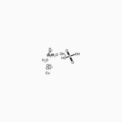 Cl.NO.O.O.O.O.O.O=S(=O)(O)O.[Cu]